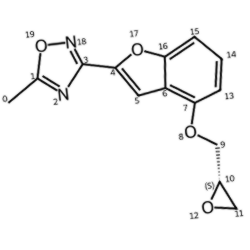 Cc1nc(-c2cc3c(OC[C@@H]4CO4)cccc3o2)no1